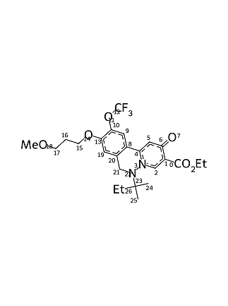 CCOC(=O)c1cn2c(cc1=O)-c1cc(OC(F)(F)F)c(OCCCOC)cc1CN2C(C)(C)CC